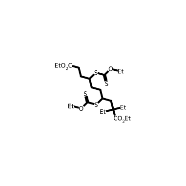 CCOC(=O)CCC(CCC(CC(CC)(CC)C(=O)OCC)SC(=S)OCC)SC(=S)OCC